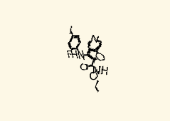 CCCONC(=O)c1oc2ccncc2c1Nc1ccc(I)cc1F